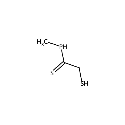 CPC(=S)CS